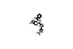 O=C(c1nnc(-c2cnn(C(F)F)c2)o1)N1CCc2[nH]cnc2[C@@H]1c1oc2ccccc2c1F